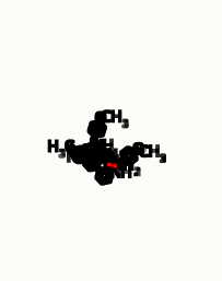 COc1ccc(CNS(=O)(=O)c2c(S(=O)(=O)CC(C)N)ccc(-c3cccc4[nH]c(N)nc34)c2-c2nnn(Cc3ccc(OC)cc3)n2)cc1